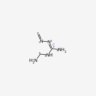 C=N/N=C(/N)NCN